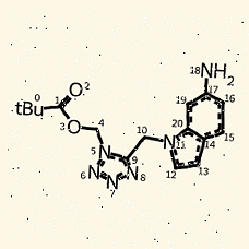 CC(C)(C)C(=O)OCn1nnnc1Cn1ccc2ccc(N)cc21